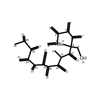 C=CC(=C)C(=C)C(=C)C(CO)(CCCC)C(=C)C(C)C(=C)C(=C)C(=C)C(=C)C(=C)C(=C)C(=C)C